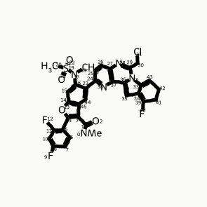 CNC(=O)c1c(-c2ccc(F)cc2F)oc2cc(N(C)S(C)(=O)=O)c(-c3ccc4nc(CCl)n5c6c(cc5c4n3)=C(F)CCC=6)cc12